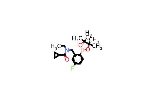 CCN(Cc1cc(F)ccc1B1OC(C)(C)C(C)(C)O1)C(=O)C1CC1